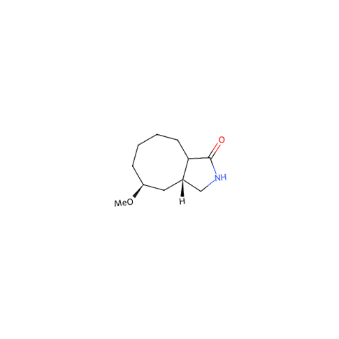 CO[C@H]1CCCCC2C(=O)NC[C@@H]2C1